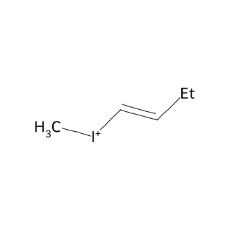 CC/C=C/[I+]C